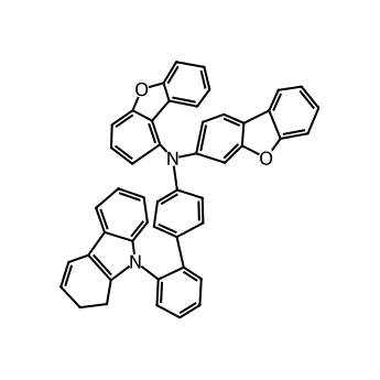 C1=Cc2c(n(-c3ccccc3-c3ccc(N(c4ccc5c(c4)oc4ccccc45)c4cccc5oc6ccccc6c45)cc3)c3ccccc23)CC1